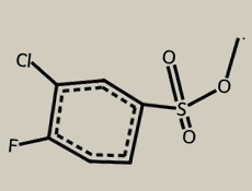 [CH2]OS(=O)(=O)c1ccc(F)c(Cl)c1